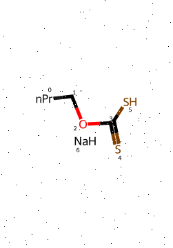 CCCCOC(=S)S.[NaH]